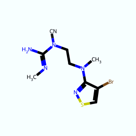 CN=C(N)N(C#N)CCN(C)c1nscc1Br